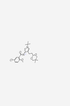 COc1ccc(Cl)cc1C(=O)/N=c1\sn(C(C)(C)C)cc1CCC1OCC(C)(C)CO1